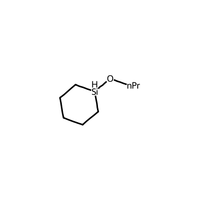 CCCO[SiH]1CCCCC1